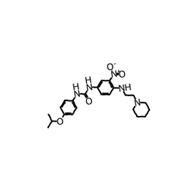 CC(C)Oc1ccc(NC(=O)Nc2ccc(NCCN3CCCCC3)c([N+](=O)[O-])c2)cc1